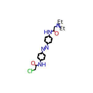 CCN(CC)CC(=O)Nc1ccc(/N=N/c2ccc(NC(=O)CCl)cc2)cc1